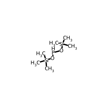 C[Si](C)(C)OPO[Si](C)(C)C